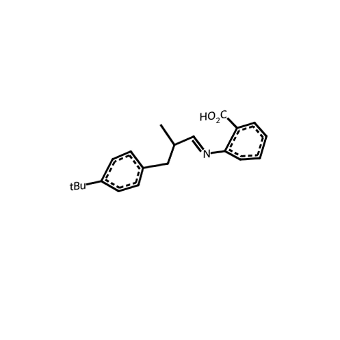 CC(C=Nc1ccccc1C(=O)O)Cc1ccc(C(C)(C)C)cc1